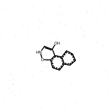 OC1=CNOc2ccc3ccccc3c21